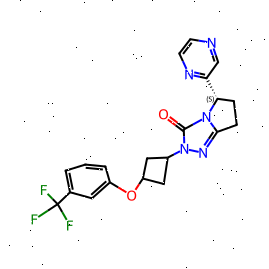 O=c1n(C2CC(Oc3cccc(C(F)(F)F)c3)C2)nc2n1[C@H](c1cnccn1)CC2